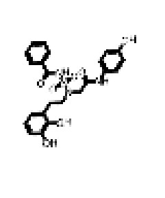 O=C(CN(CCc1cccc(O)c1O)S(=O)(=O)NC(=O)c1ccccc1)Nc1ccc(O)cc1